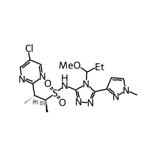 CCC(OC)n1c(NS(=O)(=O)[C@@H](C)[C@H](C)c2ncc(Cl)cn2)nnc1-c1ccn(C)n1